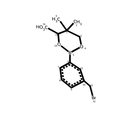 CC1(C)COB(c2cccc(CBr)c2)OC1C(=O)O